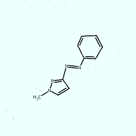 Cn1ccc(N=Nc2ccccc2)n1